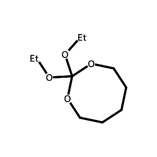 CCOC1(OCC)OCCCCCO1